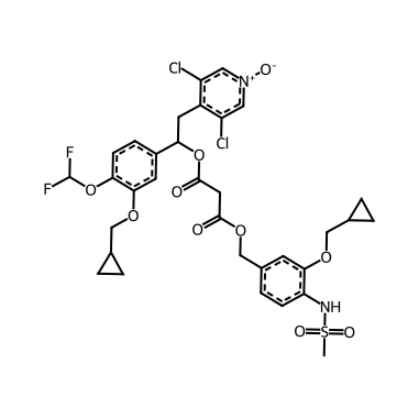 CS(=O)(=O)Nc1ccc(COC(=O)CC(=O)OC(Cc2c(Cl)c[n+]([O-])cc2Cl)c2ccc(OC(F)F)c(OCC3CC3)c2)cc1OCC1CC1